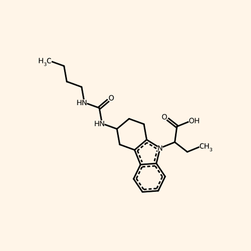 CCCCNC(=O)NC1CCc2c(c3ccccc3n2C(CC)C(=O)O)C1